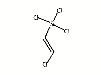 ClC=C[Si](Cl)(Cl)Cl